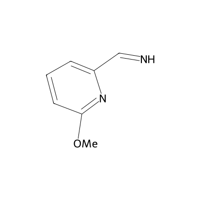 COc1cccc(C=N)n1